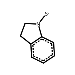 [S]N1CCc2ccccc21